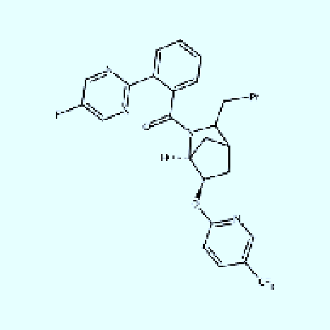 CC(C)CC1C2C[C@@H](Oc3ccc(C(F)(F)F)cn3)[C@H](C2)N1C(=O)c1ccccc1-c1ncc(F)cn1